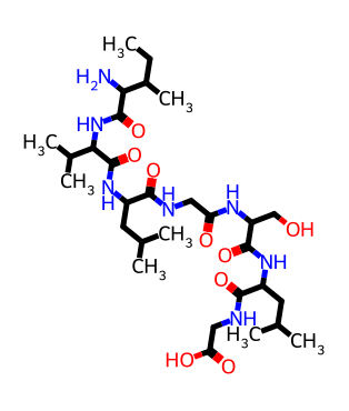 CCC(C)C(N)C(=O)NC(C(=O)NC(CC(C)C)C(=O)NCC(=O)NC(CO)C(=O)NC(CC(C)C)C(=O)NCC(=O)O)C(C)C